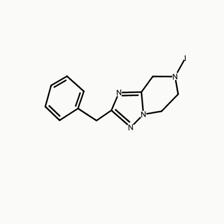 IN1CCn2nc(Cc3ccccc3)nc2C1